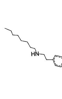 CCCCCCCCNCCc1ccccc1